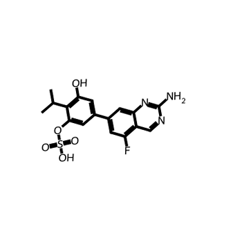 CC(C)c1c(O)cc(-c2cc(F)c3cnc(N)nc3c2)cc1OS(=O)(=O)O